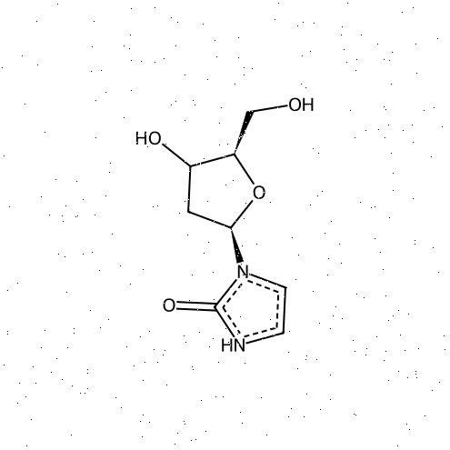 O=c1[nH]ccn1[C@H]1CC(O)[C@@H](CO)O1